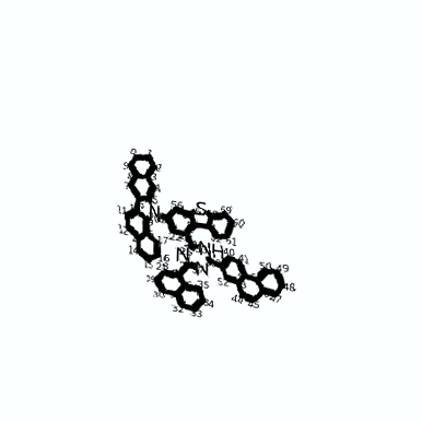 c1ccc2cc3c(cc2c1)c1ccc2ccccc2c1n3-c1cc(C2=NC(c3cccc4ccccc34)=NC(c3ccc4c(ccc5ccccc54)c3)N2)c2c(c1)sc1ccccc12